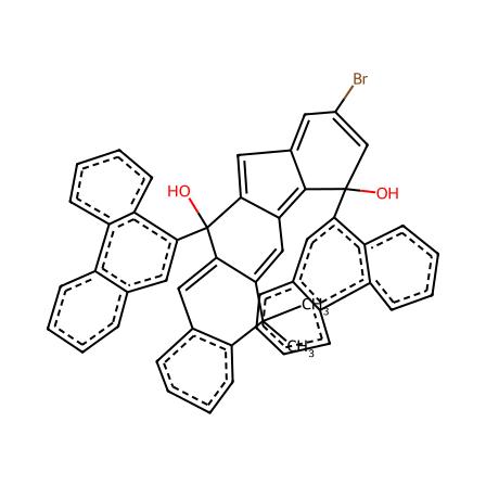 CC1(C)C2=CC3=C4C(=CC(Br)=CC4(O)c4cc5ccccc5c5ccccc45)C=C3C(O)(c3cc4ccccc4c4ccccc34)C2=Cc2ccccc21